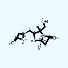 [C]C1(CO)C(C[C@@H]2CC(=O)N2)S[C@@H]2CC(=O)N21